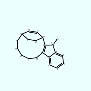 Cn1c2c(c3ccccc31)CCCCCC1C=CC2CC1